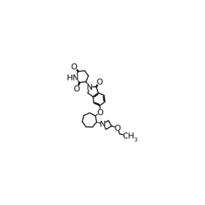 CCOC1CN([C@H]2CCCCC[C@H]2Oc2ccc3c(c2)CN(C2CCC(=O)NC2=O)C3=O)C1